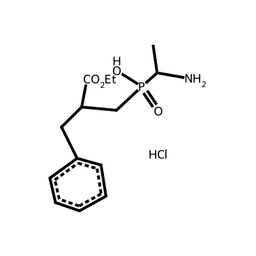 CCOC(=O)C(Cc1ccccc1)CP(=O)(O)C(C)N.Cl